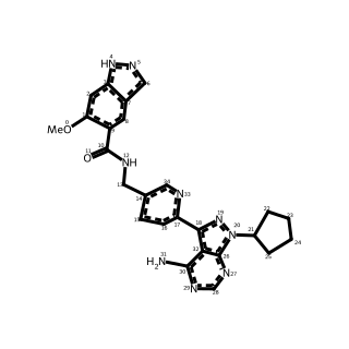 COc1cc2[nH]ncc2cc1C(=O)NCc1ccc(-c2nn(C3CCCC3)c3ncnc(N)c23)nc1